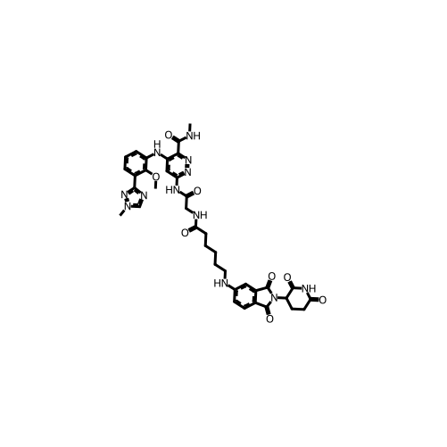 CNC(=O)c1nnc(NC(=O)CNC(=O)CCCCCNc2ccc3c(c2)C(=O)N(C2CCC(=O)NC2=O)C3=O)cc1Nc1cccc(-c2ncn(C)n2)c1OC